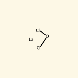 ClOCl.[La]